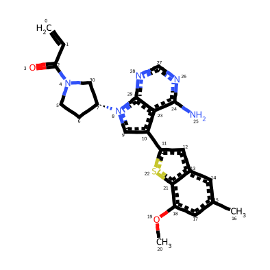 C=CC(=O)N1CC[C@@H](n2cc(-c3cc4cc(C)cc(OC)c4s3)c3c(N)ncnc32)C1